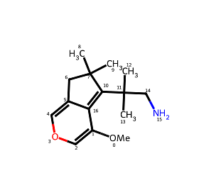 COC1=COC=C2CC(C)(C)C(C(C)(C)CN)=C21